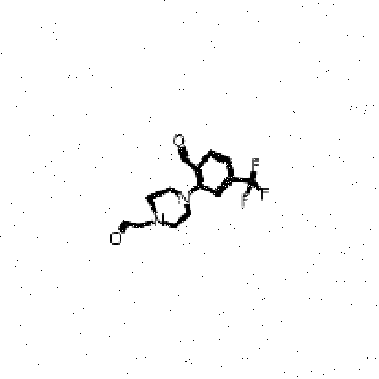 O=CCN1CCN(c2cc(C(F)(F)F)ccc2C=O)CC1